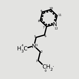 [CH2]CCN(C)CCc1ccccn1